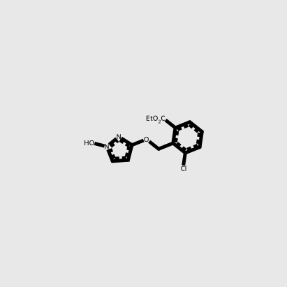 CCOC(=O)c1cccc(Cl)c1COc1ccn(O)n1